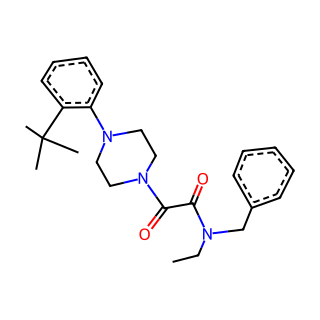 CCN(Cc1ccccc1)C(=O)C(=O)N1CCN(c2ccccc2C(C)(C)C)CC1